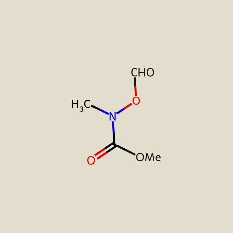 COC(=O)N(C)OC=O